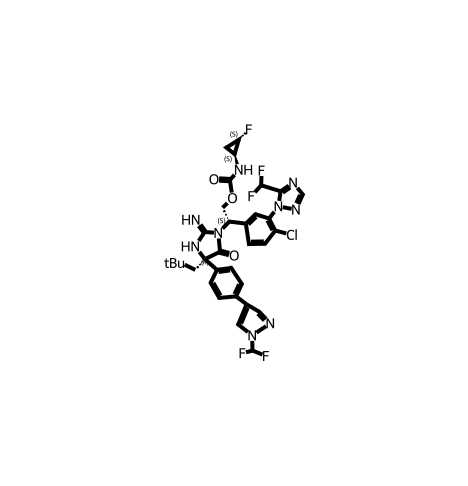 CC(C)(C)C[C@]1(c2ccc(-c3cnn(C(F)F)c3)cc2)NC(=N)N([C@H](COC(=O)N[C@H]2C[C@@H]2F)c2ccc(Cl)c(-n3ncnc3C(F)F)c2)C1=O